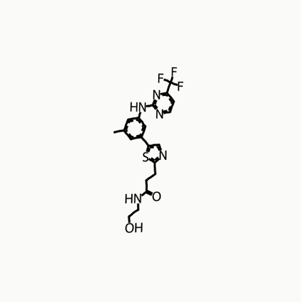 Cc1cc(Nc2nccc(C(F)(F)F)n2)cc(-c2cnc(CCC(=O)NCCO)s2)c1